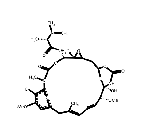 COc1cc2cc(c1Cl)N(C)C(=O)C[C@H](OC(=O)[C@H](C)N(C)C)[C@]1(C)OC1CC1C[C@@](O)(NC(=O)O1)[C@H](OC)/C=C/C=C(\C)C2